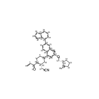 C=CC(=O)N1CCN(c2nc(OC[C@@H]3CCCN3C)nc3cc(-c4cccc5ccsc45)ccc23)C[C@@H]1CC#N